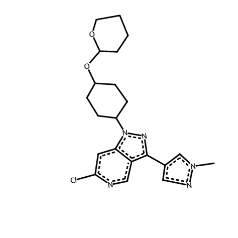 Cn1cc(-c2nn(C3CCC(OC4CCCCO4)CC3)c3cc(Cl)ncc23)cn1